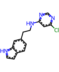 Clc1cc(NCCc2ccc3cc[nH]c3c2)ncn1